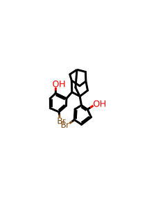 Oc1ccc(Br)cc1C1C2CC3CC(C2)CC1(c1cc(Br)ccc1O)C3